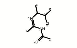 CC(=O)N/C(C)=N\C(C)C(C)Cl